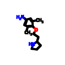 Cc1cc(N)cc(C)c1OCCC1CCCN1